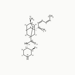 C=C(/C=C\C=C/C)[C@]12CC3CC(C(=O)N[C@H]4CCNC[C@@H]4F)(C[C@](C)(C3)C1)C2